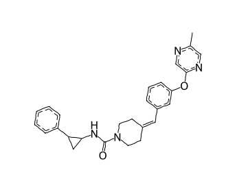 Cc1cnc(Oc2cccc(C=C3CCN(C(=O)NC4CC4c4ccccc4)CC3)c2)cn1